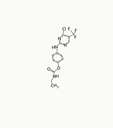 CCNC(=O)Oc1ccc(Nc2ncc(C(F)(F)F)c(Cl)n2)cc1